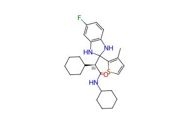 Cc1ccsc1C1([C@@H](C(=O)NC2CCCCC2)C2CCCCC2)Nc2ccc(F)cc2N1